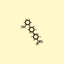 O=Cc1ccccc1-c1ccc(-c2ccc([N+](=O)[O-])cn2)cc1